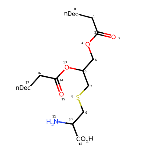 CCCCCCCCCCCC(=O)OCC(CSCC(N)C(=O)O)OC(=O)CCCCCCCCCCC